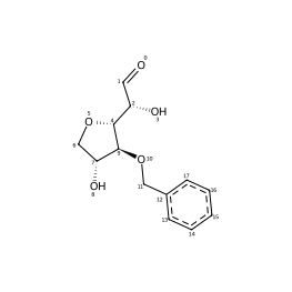 O=C[C@H](O)[C@H]1OC[C@@H](O)[C@@H]1OCc1ccccc1